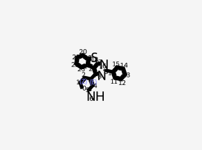 C/C=C\C(=C/C=N)c1nc(-c2ccccc2)nc2sc3ccccc3c12